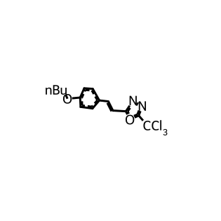 CCCCOc1ccc(/C=C/c2nnc(C(Cl)(Cl)Cl)o2)cc1